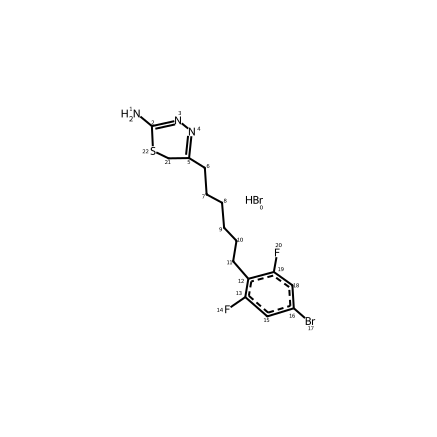 Br.NC1=NN=C(CCCCCCc2c(F)cc(Br)cc2F)CS1